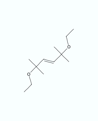 CCOC(C)(C)/C=C/C(C)(C)OCC